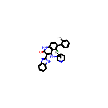 CCc1ccccc1-c1ccc2[nH]c(=O)c(-c3nc4ccccc4[nH]3)c(N[C@H]3CN4CCC3CC4)c2c1F